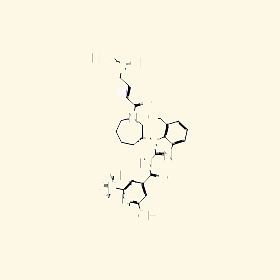 Cc1cc(C(=O)Nc2nc3cccc(Cl)c3n2[C@@H]2CCCCN(C(=O)/C=C/CN(C)C)C2)cc(P(C)(C)=O)n1